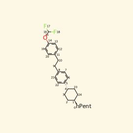 CCCCC[C@H]1CC[C@H](c2ccc(CCc3ccc(OC(F)F)cc3)cc2)CC1